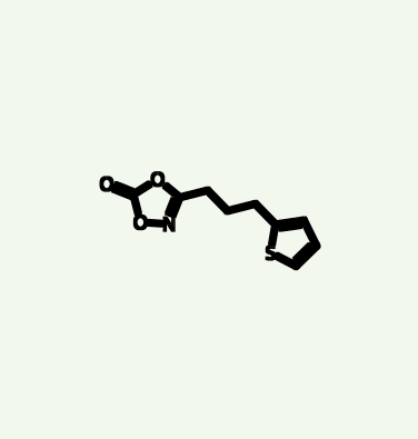 O=c1onc(CCCc2cccs2)o1